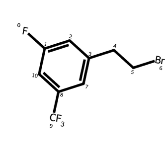 Fc1cc(CCBr)cc(C(F)(F)F)c1